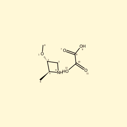 CO[C@@H]1CN[C@H]1C.O=C(O)C(=O)O